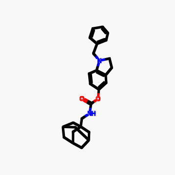 O=C(NCC12CC3CC(CC(C3)C1)C2)Oc1ccc2c(c1)CCN2Cc1ccccc1